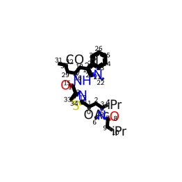 CC(=O)OC(CC(C(C)C)N(C)C(=O)CC(C)C)c1nc(C(=O)NC(Cc2cn(C)c3ccccc23)CC(C)C(=O)O)cs1